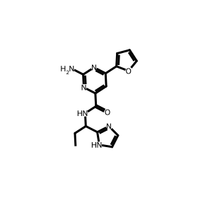 CCC(NC(=O)c1cc(-c2ccco2)nc(N)n1)c1ncc[nH]1